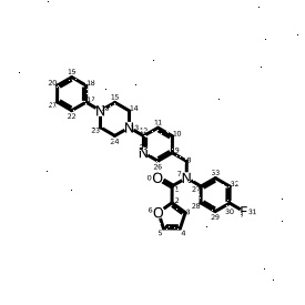 O=C(c1ccco1)N(Cc1ccc(N2CCN(c3ccccc3)CC2)nc1)c1ccc(F)cc1